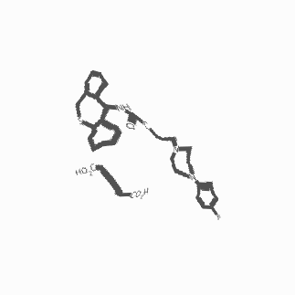 O=C(CCCN1CCN(c2ccc(F)cc2)CC1)NC1c2ccccc2CSc2ccccc21.O=C(O)C=CC(=O)O